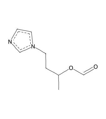 CC(CCn1ccnc1)OC=O